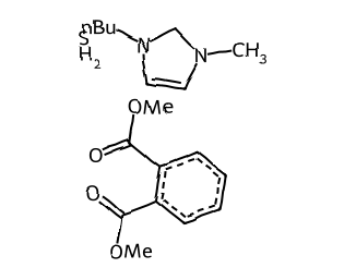 CCCCN1C=CN(C)C1.COC(=O)c1ccccc1C(=O)OC.S